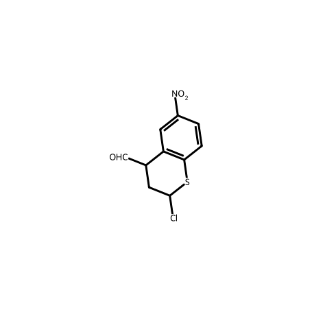 O=CC1CC(Cl)Sc2ccc([N+](=O)[O-])cc21